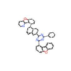 c1ccc(-c2nc(-c3ccc4c(-c5cccc6oc7cccnc7c56)cccc4c3)nc(-c3cccc4oc5ccccc5c34)n2)cc1